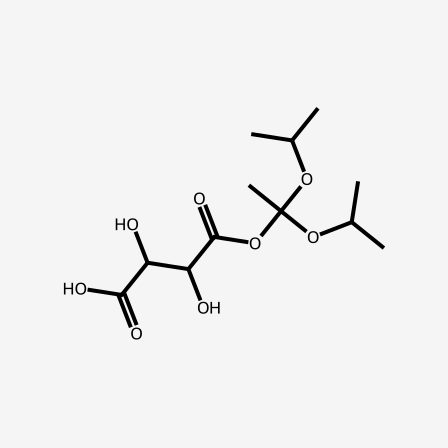 CC(C)OC(C)(OC(=O)C(O)C(O)C(=O)O)OC(C)C